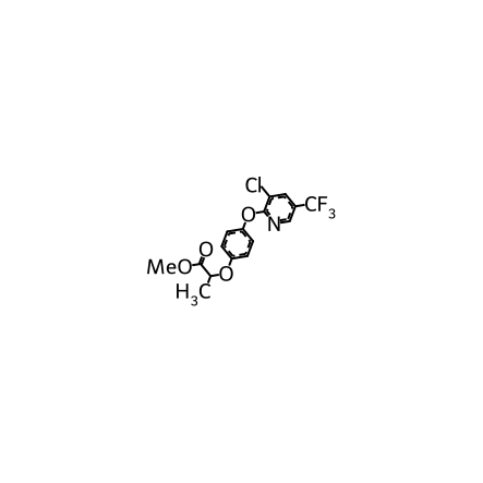 COC(=O)C(C)Oc1ccc(Oc2ncc(C(F)(F)F)cc2Cl)cc1